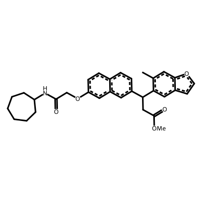 COC(=O)CC(c1ccc2ccc(OCC(=O)NC3CCCCCC3)cc2c1)c1cc2ccoc2cc1C